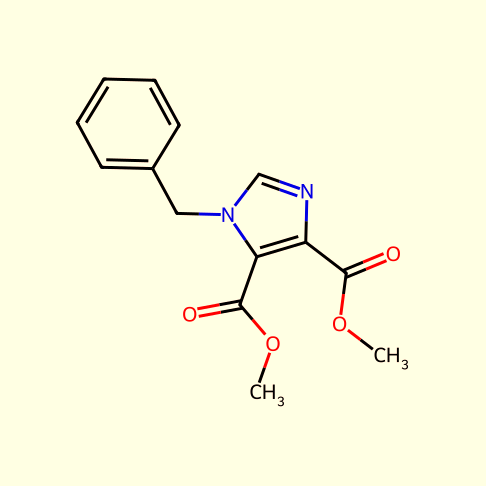 COC(=O)c1ncn(Cc2ccccc2)c1C(=O)OC